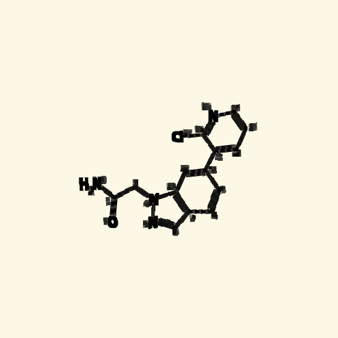 NC(=O)Cn1ncc2ccc(-c3cccnc3Cl)cc21